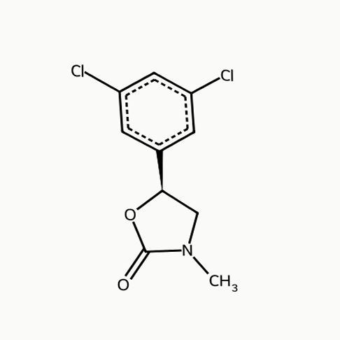 CN1C[C@H](c2cc(Cl)cc(Cl)c2)OC1=O